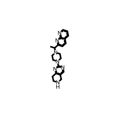 CC(c1ccc2cccnc2n1)N1CCN(c2ncc3c(n2)CCNC3)CC1